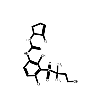 CC(C)(CCO)S(=O)(=O)c1c(Cl)ccc(NC(=O)NC2CCC=C2Cl)c1O